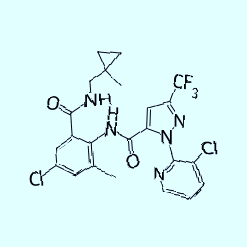 Cc1cc(Cl)cc(C(=O)NCC2(C)CC2)c1NC(=O)c1cc(C(F)(F)F)nn1-c1ncccc1Cl